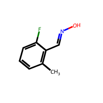 Cc1cccc(F)c1C=NO